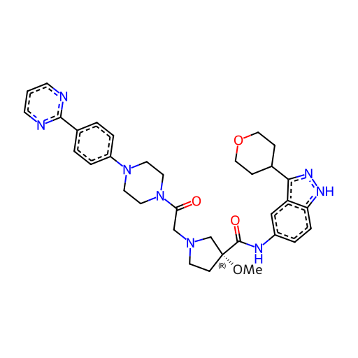 CO[C@]1(C(=O)Nc2ccc3[nH]nc(C4CCOCC4)c3c2)CCN(CC(=O)N2CCN(c3ccc(-c4ncccn4)cc3)CC2)C1